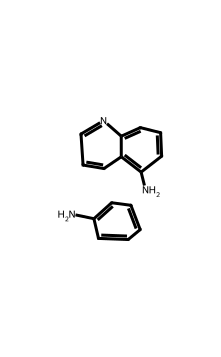 Nc1cccc2ncccc12.Nc1ccccc1